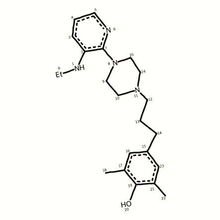 CCNc1cccnc1N1CCN(CCCc2cc(C)c(O)c(C)c2)CC1